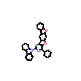 c1ccc(-c2nc(-n3c4ccccc4c4ccccc43)nc3c2oc2cc4oc5ccccc5c4cc23)cc1